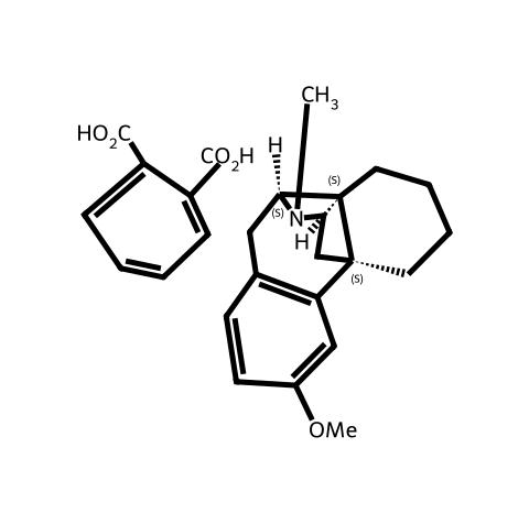 COc1ccc2c(c1)[C@]13CCCC[C@@H]1[C@H](C2)N(C)CC3.O=C(O)c1ccccc1C(=O)O